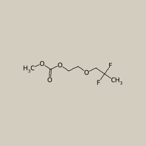 COC(=O)OCCOCC(C)(F)F